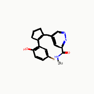 CC(C)(C)NC(=O)c1cc(C2=C(c3cc(Br)ccc3O)CCC2)cnn1